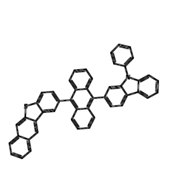 c1ccc(-n2c3ccccc3c3ccc(-c4c5ccccc5c(-c5ccc6sc7cc8ccccc8cc7c6c5)c5ccccc45)cc32)cc1